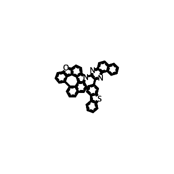 c1ccc2c(c1)ccc1nc(-n3c4ccc5cccc6c5c4c4c5c(ccc43)oc3cccc-6c35)c(-c3ccc4c(c3)sc3ccccc34)nc12